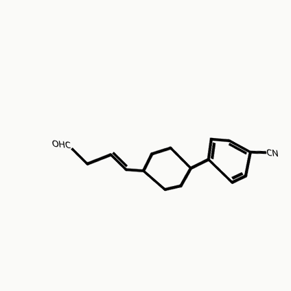 N#Cc1ccc(C2CCC(C=CCC=O)CC2)cc1